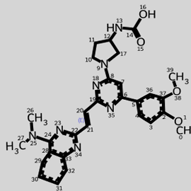 COc1ccc(-c2cc(N3CCC(NC(=O)O)C3)nc(/C=C/c3nc(N(C)C)c4ccccc4n3)n2)cc1OC